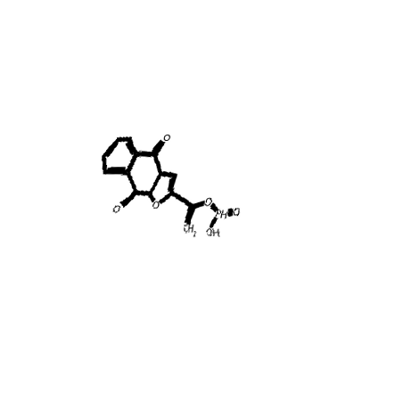 C=C(O[PH](=O)O)C1=CC2C(=O)c3ccccc3C(=O)C2O1